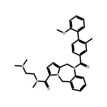 COc1ccccc1-c1ccc(C(=O)N2Cc3ccc(C(=O)N(C)CCN(C)C)n3Cc3ccccc32)cc1C